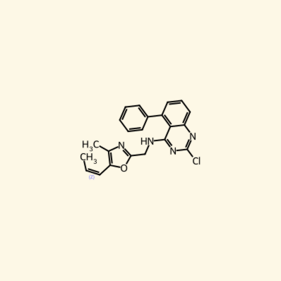 C/C=C\c1oc(CNc2nc(Cl)nc3cccc(-c4ccccc4)c23)nc1C